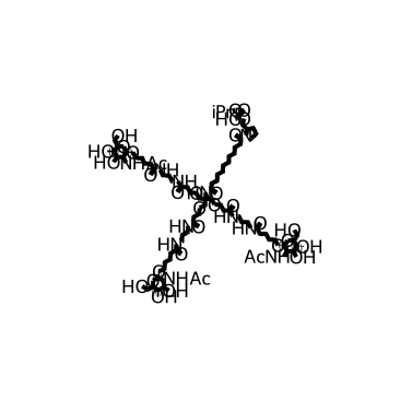 CC(=O)NC1C(O)[C@@H](O)C(CO)O[C@H]1OCCCCC(=O)NCCCNC(=O)CCOCC(COCCC(=O)NCCCNC(=O)CCCCO[C@@H]1OC(CO)[C@H](O)C(O)C1NC(C)=O)(COCCC(=O)NCCCNC(=O)CCCCO[C@@H]1OC(CO)[C@H](O)C(O)C1NC(C)=O)NC(=O)CCCCCCCCCCC(=O)N1CCCC1COP(=O)(O)OC(C)C